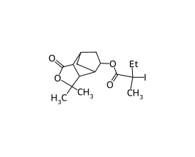 CCC(C)(I)C(=O)OC1CC2CC1C1C2C(=O)OC1(C)C